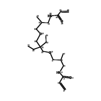 C=CC(=O)NCC(C)COCC(CC)(CC)COCC(C)CNC(=O)C=C